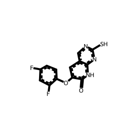 O=c1[nH]c2nc(S)ncc2cc1Oc1ccc(F)cc1F